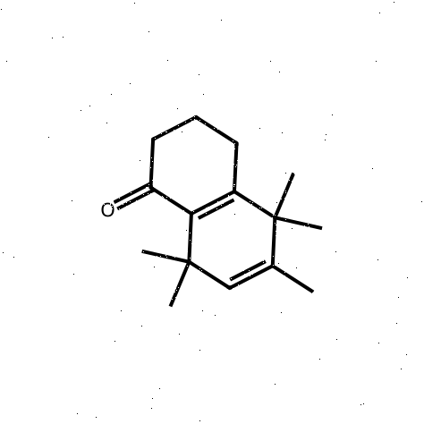 CC1=CC(C)(C)C2=C(CCCC2=O)C1(C)C